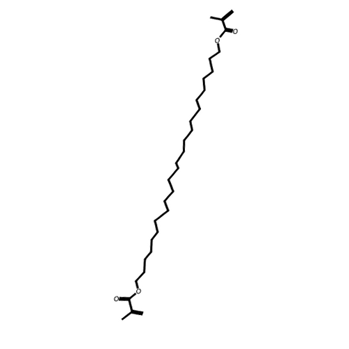 C=C(C)C(=O)OCCCCCCCCCCCCCCCCCCCCCCCCOC(=O)C(=C)C